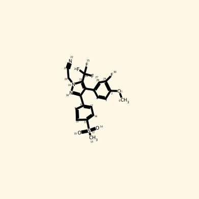 COc1ccc(-c2c(-c3ccc(S(C)(=O)=O)cc3)nn(CC#N)c2C(F)(F)F)cc1F